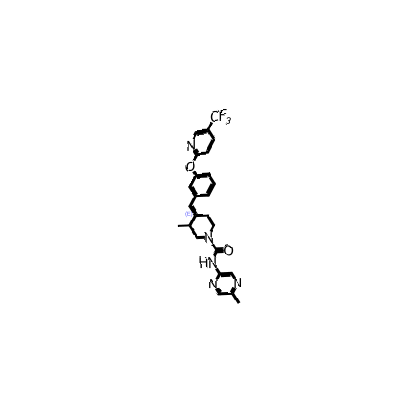 Cc1cnc(NC(=O)N2CC/C(=C\c3cccc(Oc4ccc(C(F)(F)F)cn4)c3)C(C)C2)cn1